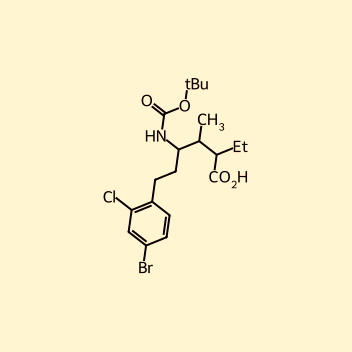 CCC(C(=O)O)C(C)C(CCc1ccc(Br)cc1Cl)NC(=O)OC(C)(C)C